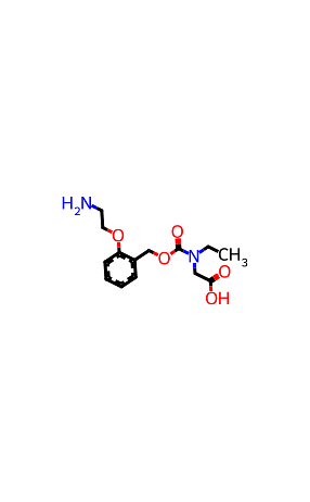 CCN(CC(=O)O)C(=O)OCc1ccccc1OCCN